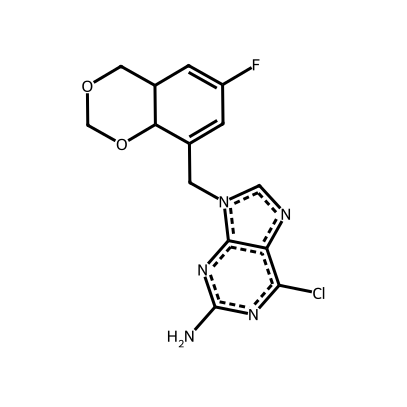 Nc1nc(Cl)c2ncn(CC3=CC(F)=CC4COCOC34)c2n1